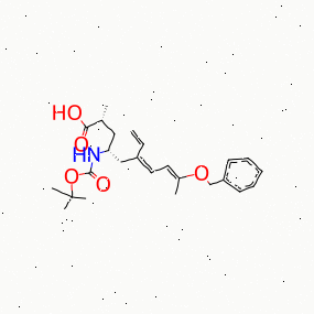 C=C/C(=C\C=C(/C)OCc1ccccc1)C[C@@H](C[C@@H](C)C(=O)O)NC(=O)OC(C)(C)C